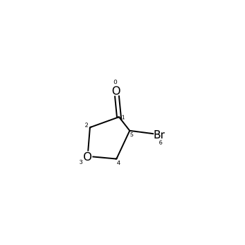 O=C1COCC1Br